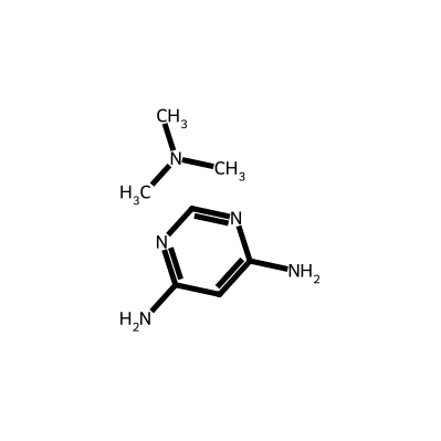 CN(C)C.Nc1cc(N)ncn1